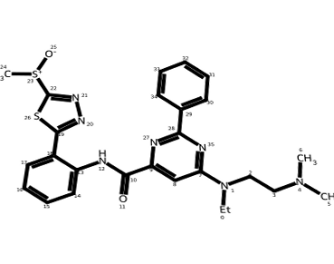 CCN(CCN(C)C)c1cc(C(=O)Nc2ccccc2-c2nnc([S+](C)[O-])s2)nc(-c2ccccc2)n1